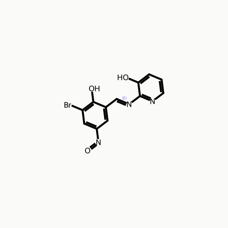 O=Nc1cc(Br)c(O)c(/C=N/c2ncccc2O)c1